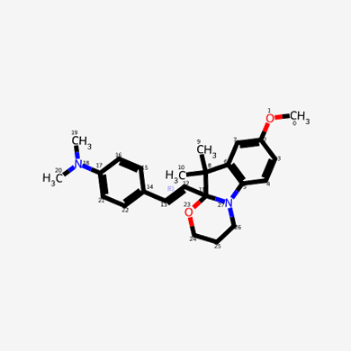 COc1ccc2c(c1)C(C)(C)C1(/C=C/c3ccc(N(C)C)cc3)OCCCN21